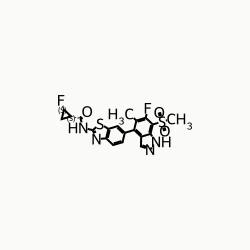 Cc1c(F)c(S(C)(=O)=O)c2[nH]ncc2c1-c1ccc2nc(NC(=O)[C@@H]3C[C@@H]3F)sc2c1